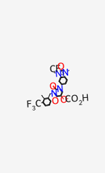 Cc1c(Cn2c(=O)c(OC(=O)O)cn(-c3ccc4c(c3)n(CC(F)(F)F)c(=O)n4C)c2=O)cccc1C(F)(F)F